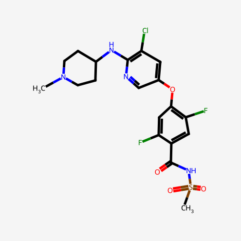 CN1CCC(Nc2ncc(Oc3cc(F)c(C(=O)NS(C)(=O)=O)cc3F)cc2Cl)CC1